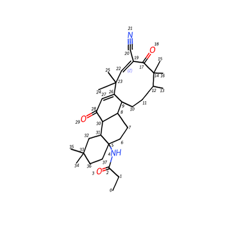 CCC(=O)NC12CCC3C4CCC(C)C(C)(C)C(=O)/C(C#N)=C\C(C)(C)C4=CC(=O)C3C1CC(C)(C)CC2